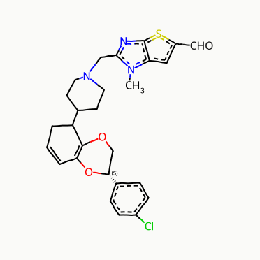 Cn1c(CN2CCC(C3CC=CC4=C3OC[C@H](c3ccc(Cl)cc3)O4)CC2)nc2sc(C=O)cc21